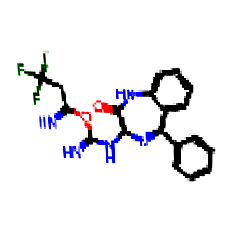 N=C(CC(F)(F)F)OC(=N)NC1N=C(c2ccccc2)c2ccccc2NC1=O